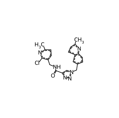 Cc1ccc(CNC(=O)c2cn(Cc3ccc4nc(C)ccc4c3)nn2)c(Cl)n1